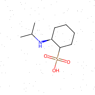 CC(C)N[C@H]1CCCCC1S(=O)(=O)O